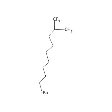 CC(CCCCCCCC(C)(C)C)C(F)(F)F